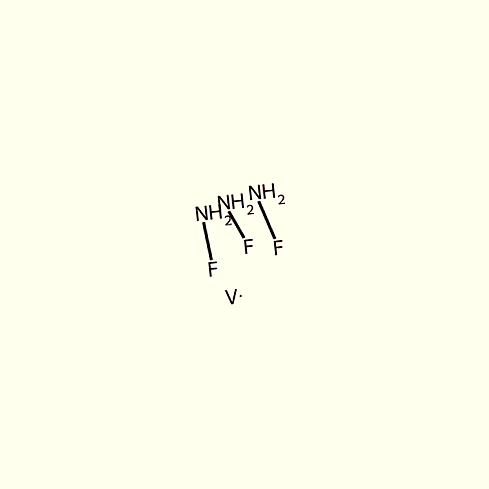 NF.NF.NF.[V]